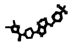 Cc1cc(C(=O)N2CCC(n3ncc4c(Oc5ccc(S(C)(=O)=O)cc5)ncnc43)CC2)nn1C